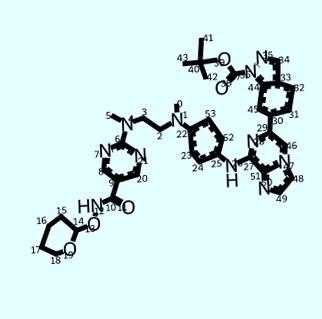 CN(CCN(C)c1ncc(C(=O)NOC2CCCCO2)cn1)c1ccc(Nc2nc(-c3ccc4cnn(C(=O)OC(C)(C)C)c4c3)cn3ccnc23)cc1